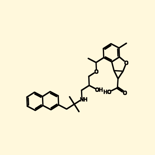 Cc1ccc(C(C)OCC(O)CNC(C)(C)Cc2ccc3ccccc3c2)c2c1OC1C(C(=O)O)C21